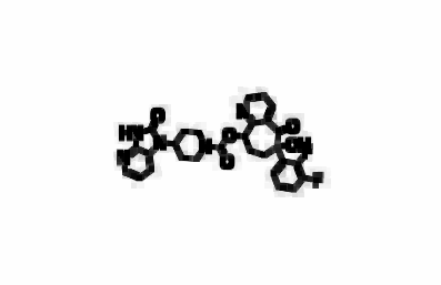 O=C(O[C@@H]1CC[C@@](O)(c2cccc(F)c2F)C(=O)c2cccnc21)N1CCC(n2c(=O)[nH]c3ncccc32)CC1